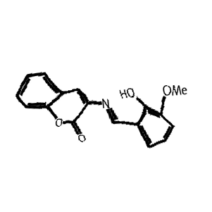 COc1cccc(C=Nc2cc3ccccc3oc2=O)c1O